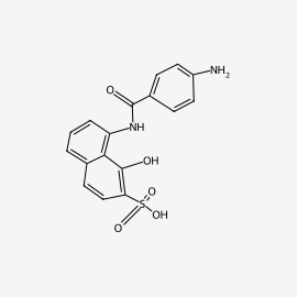 Nc1ccc(C(=O)Nc2cccc3ccc(S(=O)(=O)O)c(O)c23)cc1